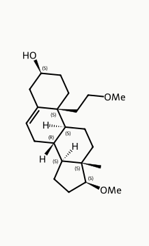 COCC[C@]12CC[C@H](O)CC1=CC[C@@H]1[C@@H]2CC[C@]2(C)[C@@H](OC)CC[C@@H]12